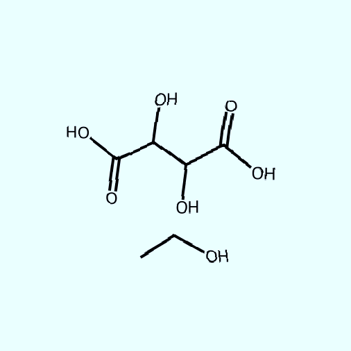 CCO.O=C(O)C(O)C(O)C(=O)O